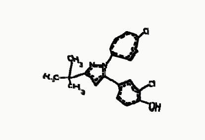 CC(C)(C)c1cc(-c2ccc(O)c(Cl)c2)n(-c2ccc(Cl)cc2)n1